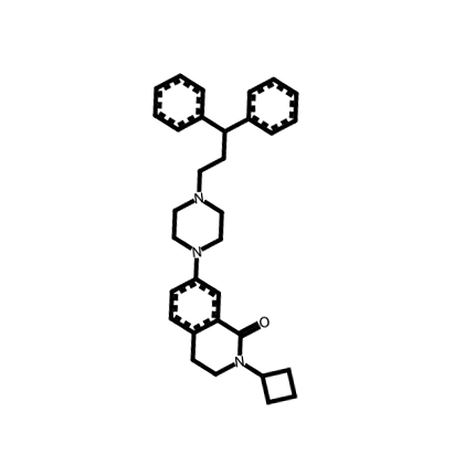 O=C1c2cc(N3CCN(CCC(c4ccccc4)c4ccccc4)CC3)ccc2CCN1C1CCC1